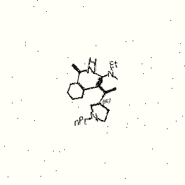 C=C1NC(N(C)CC)=C(C(=C)[C@H]2CCN(CCC)C2)C2=C1CCCC2